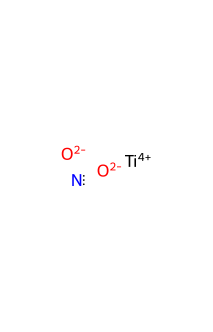 [N].[O-2].[O-2].[Ti+4]